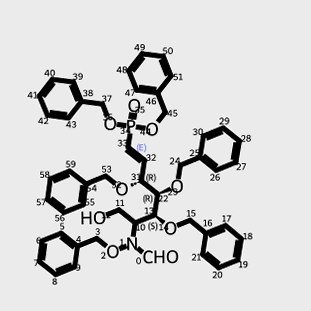 O=CN(OCc1ccccc1)C(CO)[C@H](OCc1ccccc1)[C@H](OCc1ccccc1)[C@@H](/C=C/P(=O)(OCc1ccccc1)OCc1ccccc1)OCc1ccccc1